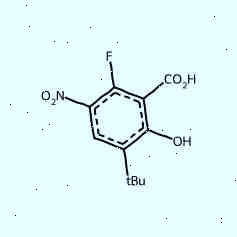 CC(C)(C)c1cc([N+](=O)[O-])c(F)c(C(=O)O)c1O